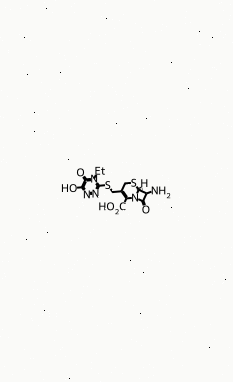 CCn1c(SCC2=C(C(=O)O)N3C(=O)C(N)[C@@H]3SC2)nnc(O)c1=O